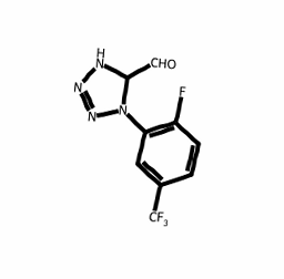 O=CC1NN=NN1c1cc(C(F)(F)F)ccc1F